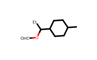 CCC(O[C]=O)C1CCC(C)CC1